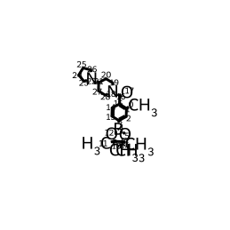 Cc1cc(B2OC(C)(C)C(C)(C)O2)ccc1C(=O)N1CCC(N2CCCC2)CC1